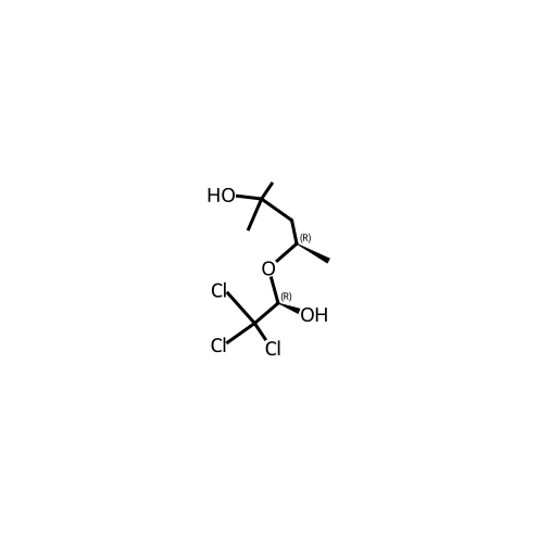 C[C@H](CC(C)(C)O)O[C@@H](O)C(Cl)(Cl)Cl